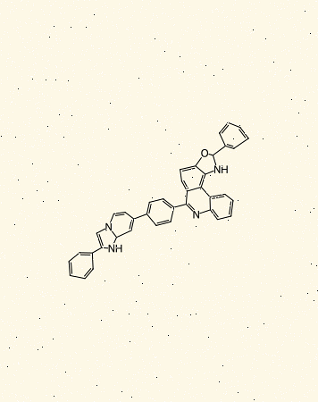 C1=CN2C=C(c3ccccc3)NC2C=C1c1ccc(-c2nc3ccccc3c3c4c(ccc23)OC(c2ccccc2)N4)cc1